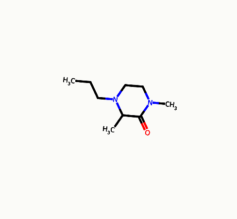 CCCN1CCN(C)C(=O)C1C